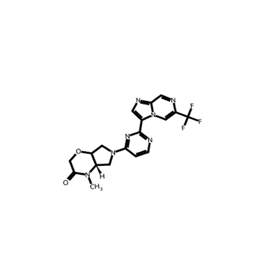 CN1C(=O)COC2CN(c3ccnc(-c4cnc5cnc(C(F)(F)F)cn45)n3)C[C@@H]21